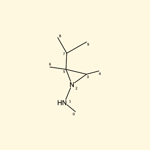 CNN1C(C)C1(C)C(C)C